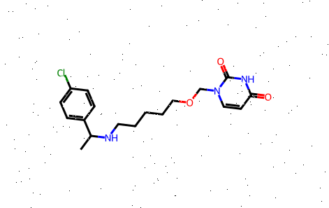 CC(NCCCCCOCn1ccc(=O)[nH]c1=O)c1ccc(Cl)cc1